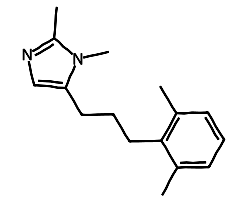 Cc1cccc(C)c1CCCc1cnc(C)n1C